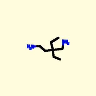 CCC(CC)(CN)CCN